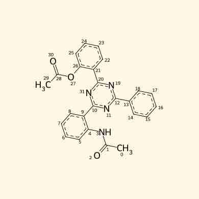 CC(=O)Nc1ccccc1-c1nc(-c2ccccc2)nc(-c2ccccc2OC(C)=O)n1